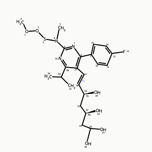 COOSN(C)c1nc(-c2ccc(F)cc2)c(/C=C/[C@@H](O)C[C@@H](O)CC(O)O)c(C(C)C)n1